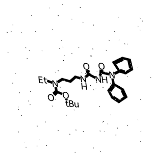 CCN(CCCNC(=O)NC(=O)N(c1ccccc1)c1ccccc1)C(=O)OC(C)(C)C